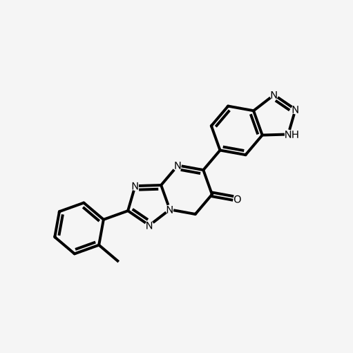 Cc1ccccc1-c1nc2n(n1)CC(=O)C(c1ccc3nn[nH]c3c1)=N2